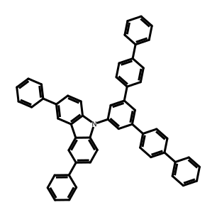 c1ccc(-c2ccc(-c3cc(-c4ccc(-c5ccccc5)cc4)cc(-n4c5ccc(-c6ccccc6)cc5c5cc(-c6ccccc6)ccc54)c3)cc2)cc1